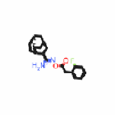 N/C(=N\OC(=O)Cc1ccccc1F)C1CC2CC3CCC1C(C3)C2